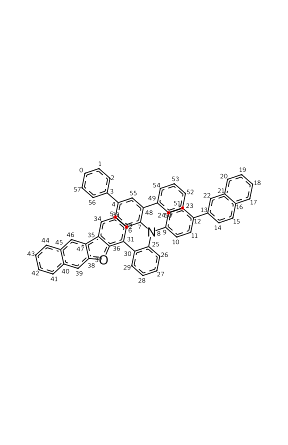 c1ccc(-c2ccc(N(c3ccc(-c4ccc5ccccc5c4)cc3)c3ccccc3-c3cccc4c3oc3cc5ccccc5cc34)c(-c3ccccc3)c2)cc1